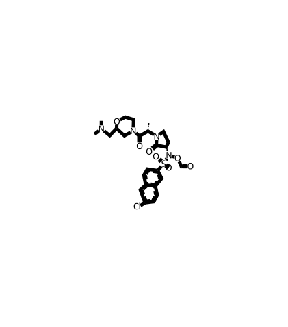 C[C@@H](C(=O)N1CCOC(CN(C)C)C1)N1CC[C@H](N(OC=O)S(=O)(=O)c2ccc3cc(Cl)ccc3c2)C1=O